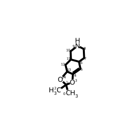 CC1(C)OC2=CC3CCNCC3CC2O1